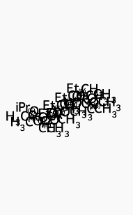 CCC1O[C@@H](O[C@@H]2C(CC)O[C@@H](C(C)C)C(C)[C@H]2C)C(C)[C@@H](C)C1O[C@H]1OC(CC)[C@H](C)[C@H](O[C@@H]2OC(CC)[C@H](C)[C@H](O[C@@H]3OC(CC)[C@H](C)[C@H](C)C3OC3OC(C)C(C)[C@H](C)[C@H]3C)C2C)C1C